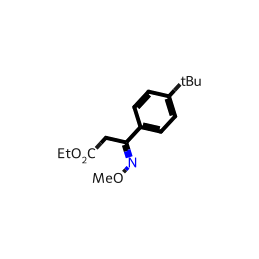 CCOC(=O)CC(=NOC)c1ccc(C(C)(C)C)cc1